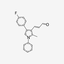 Cc1c(C=CC=O)c(-c2ccc(F)cc2)cn1-c1ccccc1